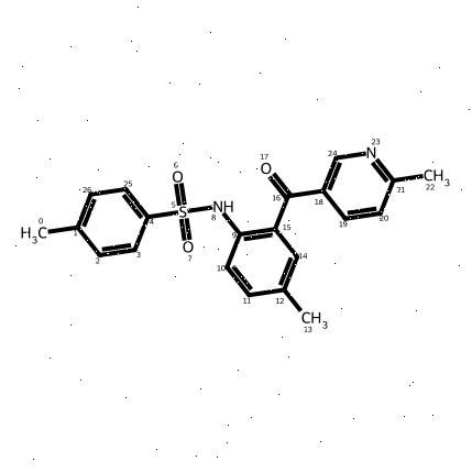 Cc1ccc(S(=O)(=O)Nc2ccc(C)cc2C(=O)c2ccc(C)nc2)cc1